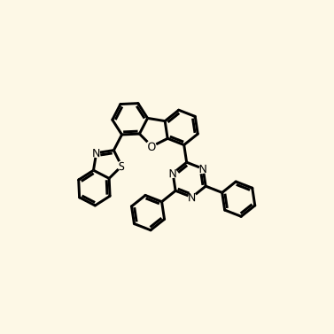 c1ccc(-c2nc(-c3ccccc3)nc(-c3cccc4c3oc3c(-c5nc6ccccc6s5)cccc34)n2)cc1